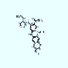 COc1cc2c(cc1Nc1ncc(C(N)=O)c(N[C@@H]3COC[C@H]3SC)n1)CN(C)CC2